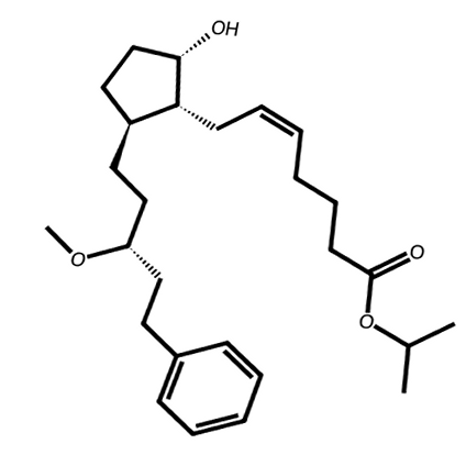 CO[C@@H](CCc1ccccc1)CC[C@H]1CC[C@H](O)[C@@H]1C/C=C\CCCC(=O)OC(C)C